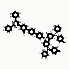 Cc1ccc(N(c2ccccc2)c2ccc3c(c2)c2cc(N(c4ccccc4)c4ccc(C)cc4)ccc2n3-c2ccc(-c3ccc(-c4ccc(-c5cc(-c6ccccc6)nc(-c6ccccc6)n5)cc4C)cc3)cc2)cc1